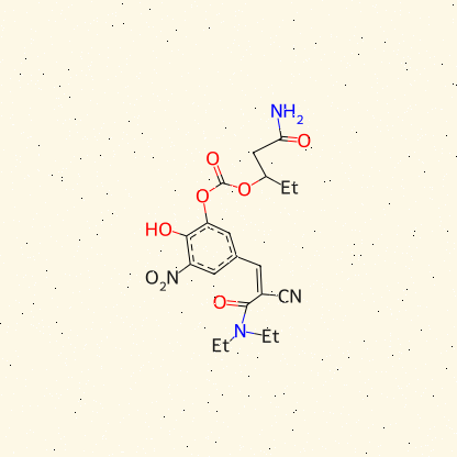 CCC(CC(N)=O)OC(=O)Oc1cc(C=C(C#N)C(=O)N(CC)CC)cc([N+](=O)[O-])c1O